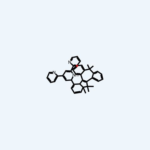 CC1(C)c2ccccc2C2=C(c3ccccc31)C(C)(C)C1(C)C=CC=C(C3C=C(c4ccccn4)C=C(c4ccccn4)N3)C21